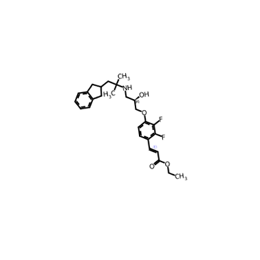 CCOC(=O)/C=C/c1ccc(OC[C@H](O)CNC(C)(C)CC2Cc3ccccc3C2)c(F)c1F